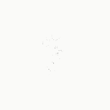 CCC(C)C1C(=O)Nc2ccccc2CN1C(=O)N1CC(N2CCN(C)CC2)C1